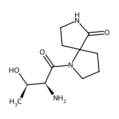 C[C@@H](O)[C@H](N)C(=O)N1CCCC12CCNC2=O